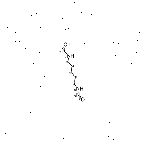 O=NNCCCCCNN=O